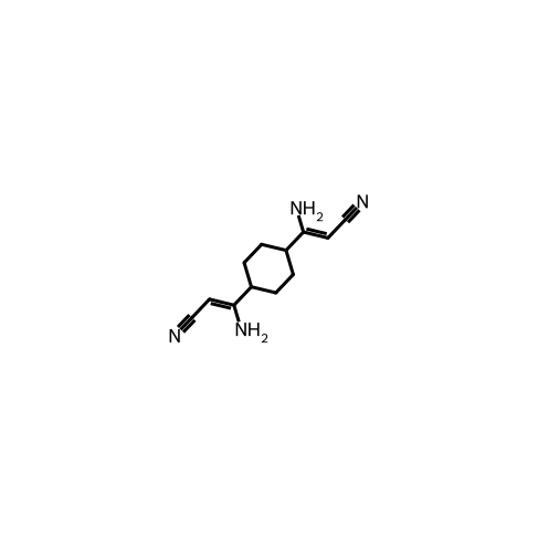 N#CC=C(N)C1CCC(C(N)=CC#N)CC1